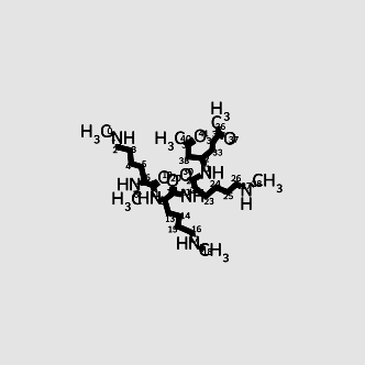 CNCCCCC(NC)C(=O)NC(CCCCNC)C(=O)NC(CCCCNC)C(=O)NC(CCC(C)=O)CC(C)=O